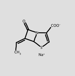 C/C=C1/C(=O)N2C(C(=O)[O-])=CSC12.[Na+]